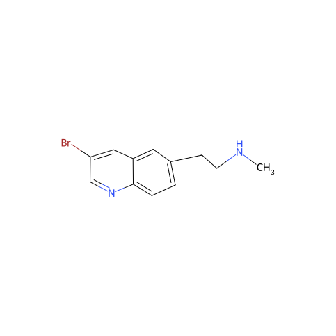 CNCCc1ccc2ncc(Br)cc2c1